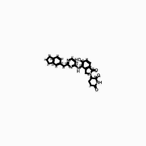 O=C1CCC(N2Cc3c(ccc(O)c3Nc3ccnc(Cc4ccc5c(c4)CCC5)n3)C2=O)C(=O)N1